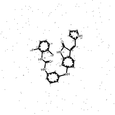 O=C(Nc1cccc(Nc2ccc3c(c2)NC(=O)/C3=C\c2ccc[nH]2)c1)Nc1c(F)cccc1F